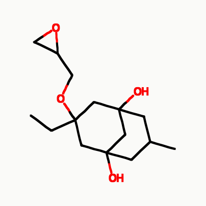 CCC1(OCC2CO2)CC2(O)CC(C)CC(O)(C2)C1